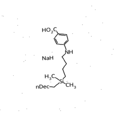 CCCCCCCCCCC[Si](C)(C)CCCCNc1ccc(C(=O)O)cc1.[NaH]